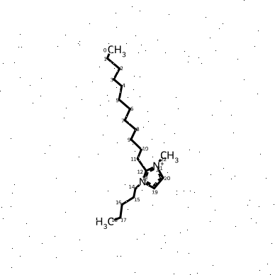 CCCCCCCCCCCCc1n(CCCCC)cc[n+]1C